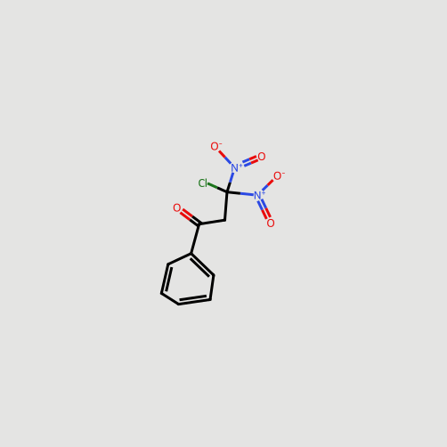 O=C(CC(Cl)([N+](=O)[O-])[N+](=O)[O-])c1ccccc1